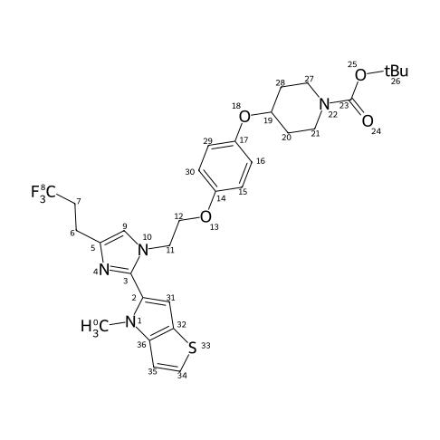 Cn1c(-c2nc(CCC(F)(F)F)cn2CCOc2ccc(OC3CCN(C(=O)OC(C)(C)C)CC3)cc2)cc2sccc21